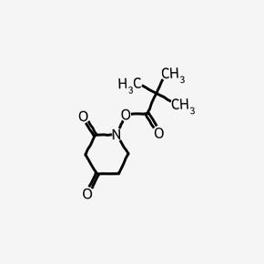 CC(C)(C)C(=O)ON1CCC(=O)CC1=O